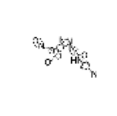 COCCOc1cc2c(N3CCN(C(=O)Nc4ccc(C#N)cc4)CC3)ncnc2cc1OCCN1CCOCC1